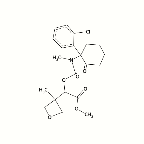 COC(=O)C(OC(=O)N(C)C1(c2ccccc2Cl)CCCCC1=O)C1(C)COC1